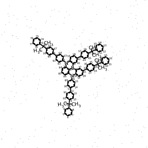 CC(C)(c1ccccc1)c1ccc(-c2ccc(N3c4ccc(-c5ccc(C(C)(C)c6ccccc6)cc5)cc4B4c5cc(-c6ccc(C(C)(C)c7ccccc7)cc6)ccc5N(c5ccc(-c6ccc(C(C)(C)c7ccccc7)cc6)cc5)c5cccc3c54)cc2)cc1